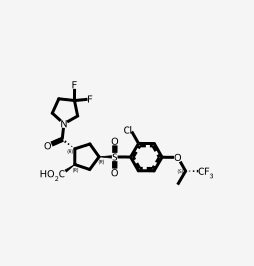 C[C@H](Oc1ccc(S(=O)(=O)[C@H]2C[C@@H](C(=O)O)[C@H](C(=O)N3CCC(F)(F)C3)C2)c(Cl)c1)C(F)(F)F